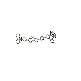 CC1(C)c2cc(-c3ccc(-c4ccc5c(c4)c4ccccc4c4nccnc54)cc3)ccc2-c2ccc(-c3ccc(-n4c5ccccc5c5ccccc54)cc3)cc21